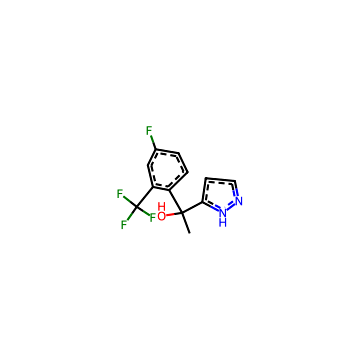 CC(O)(c1ccn[nH]1)c1ccc(F)cc1C(F)(F)F